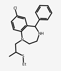 CCSC(C)CN1CCNC(c2ccccc2)c2cc(Cl)ccc21